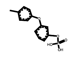 Cc1ccc(Oc2cccc(OP(=O)(O)O)c2)cc1